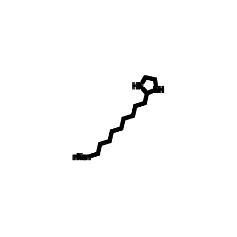 CCCCCCCCCCCCCCCCCCC1NCCN1